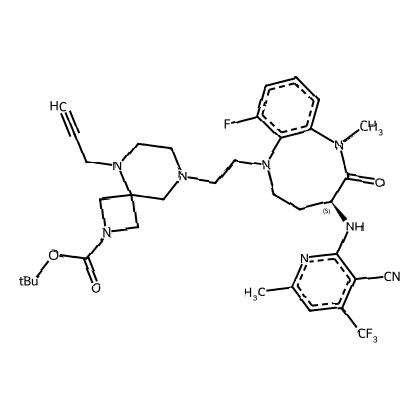 C#CCN1CCN(CCN2CC[C@H](Nc3nc(C)cc(C(F)(F)F)c3C#N)C(=O)N(C)c3cccc(F)c32)CC12CN(C(=O)OC(C)(C)C)C2